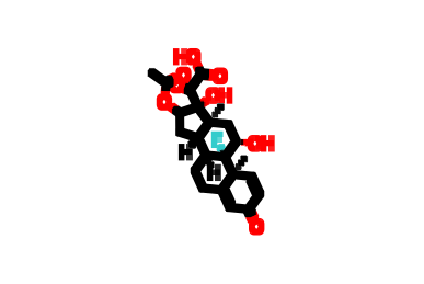 CC(=O)OC1C[C@H]2[C@@H]3CCC4=CC(=O)C=C[C@]4(C)[C@@]3(F)[C@@H](O)C[C@]2(C)[C@@]1(O)C(=O)C(=O)O